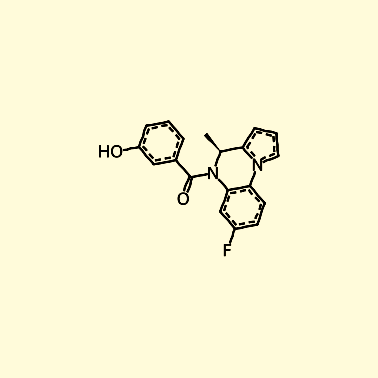 C[C@H]1c2cccn2-c2ccc(F)cc2N1C(=O)c1cccc(O)c1